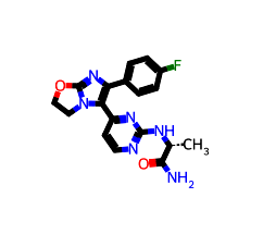 C[C@@H](Nc1nccc(-c2c(-c3ccc(F)cc3)nc3n2CCO3)n1)C(N)=O